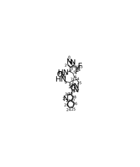 Cn1cc(C2CCC3(CCNC(=O)N2)CCn2nc(-c4cnc5ccccc5c4)cc23)c(C(F)F)n1